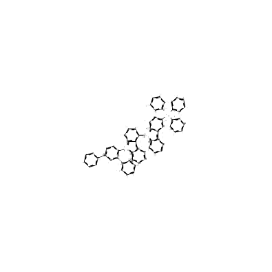 c1ccc(-c2ccc(-n3c4ccccc4c4c(-n5c6ccccc6c6cc([Si](c7ccccc7)(c7ccccc7)c7ccccc7)ccc65)cccc43)c(-c3ccccc3)c2)cc1